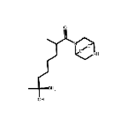 BC(C)(O)CCCCC(C)C(=O)N1CC2CCC1CN2